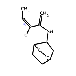 C=C(NC1CC2CCC1CC2)/C(F)=C\C